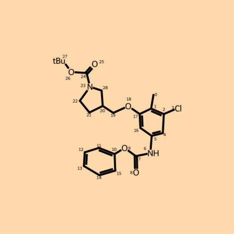 Cc1c(Cl)cc(NC(=O)Oc2ccccc2)cc1OCC1CCN(C(=O)OC(C)(C)C)C1